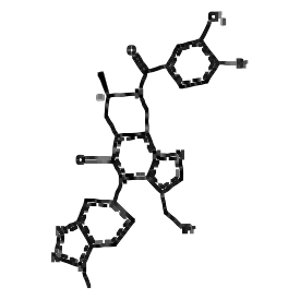 CC(C)Cc1cnn2c3c(c(=O)n(-c4ccc5c(c4)nnn5C)c12)C[C@@H](C)N(C(=O)c1ccc(Br)c(C(F)(F)F)c1)C3